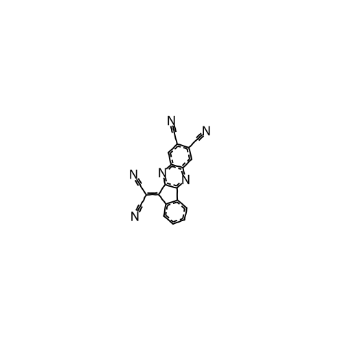 N#CC(C#N)=C1c2ccccc2-c2nc3cc(C#N)c(C#N)cc3nc21